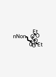 CCCCCCCCCCCC(=O)[SH](OC(=O)CC)OC(=O)CC